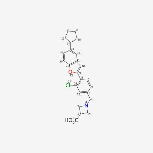 O=C(O)C1CN(Cc2ccc(-c3cc4cc(C5CCCC5)ccc4o3)c(Cl)c2)C1